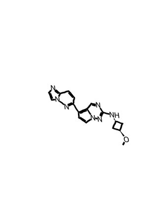 CO[C@H]1C[C@H](Nc2ncc3c(-c4ccc5nccn5n4)ccn3n2)C1